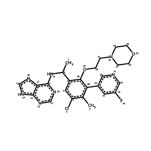 Cc1c(Cl)cc(C(C)Nc2ncnc3[nH]cnc23)c(OCCN2CCOCC2)c1-c1cncc(F)c1